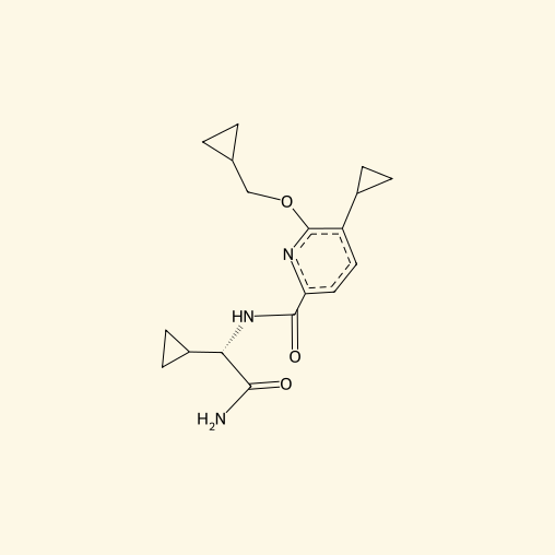 NC(=O)[C@@H](NC(=O)c1ccc(C2CC2)c(OCC2CC2)n1)C1CC1